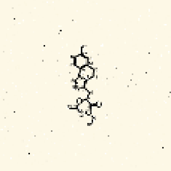 CCOC(=O)C(Cc1ncn2c1CCc1cc(C)ccc1-2)OC(C)=O